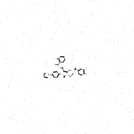 COc1ccc(C(C)NC(=O)c2c3n(c(=O)n2-c2ccc(-n4cccn4)cc2)CCN(C(=O)c2ccc(Br)c(Cl)c2)C3)c(F)c1